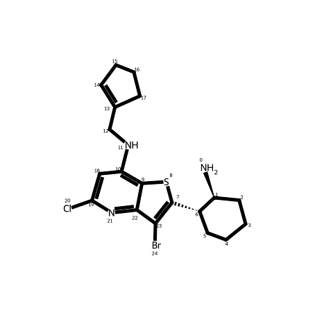 N[C@H]1CCCC[C@@H]1c1sc2c(NCC3=CCCC3)cc(Cl)nc2c1Br